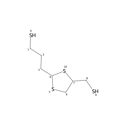 SCCCC1SCC(CS)S1